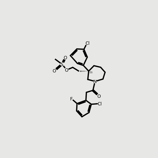 CS(=O)(=O)OCC[C@]1(c2cccc(Cl)c2)CCCCN(C(=O)Cc2c(F)cccc2Cl)C1